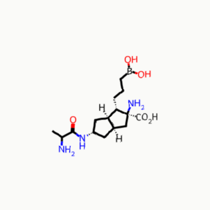 CC(N)C(=O)N[C@H]1C[C@@H]2C[C@@](N)(C(=O)O)[C@@H](CCCB(O)O)[C@@H]2C1